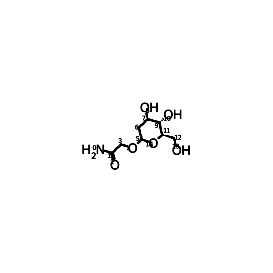 NC(=O)COC1C[C@@H](O)[C@H](O)[C@@H](CO)O1